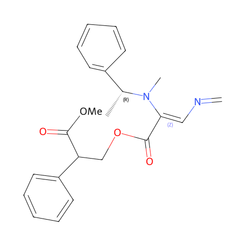 C=N/C=C(/C(=O)OCC(C(=O)OC)c1ccccc1)N(C)[C@H](C)c1ccccc1